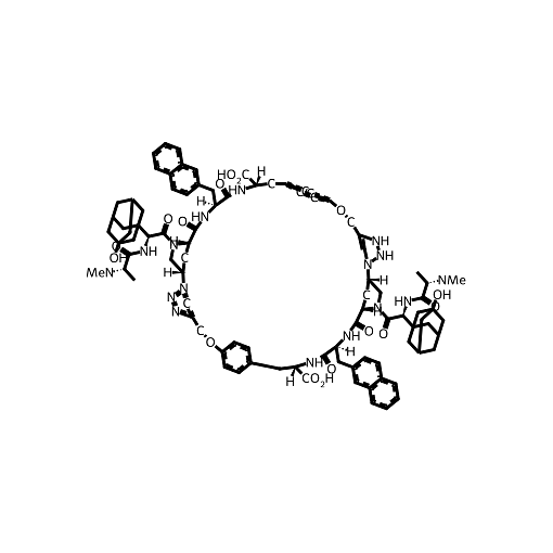 CN[C@@H](C)C(=O)N[C@H](C(=O)N1C[C@@H]2C[C@H]1C(=O)N[C@@H](Cc1ccc3ccccc3c1)C(=O)N[C@H](C(=O)O)Cc1ccc(cc1)OCc1cn(nn1)[C@H]1C[C@@H](C(=O)N[C@@H](Cc3ccc4ccccc4c3)C(=O)N[C@H](C(=O)O)Cc3ccc(cc3)OCC3=CN2NN3)N(C(=O)[C@@H](NC(=O)[C@H](C)NC)C23CC4CC(CC(O)(C4)C2)C3)C1)C12CC3CC(CC(O)(C3)C1)C2